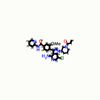 C=CC(=O)N1CCC[C@@H](n2nc(-c3ccc(C(=O)Nc4ccccn4)cc3OC)c3c(N)ncc(Cl)c32)C1